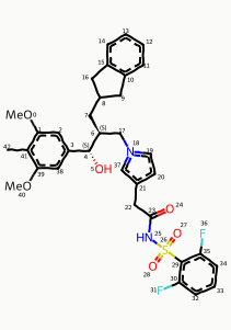 COc1cc([C@@H](O)[C@@H](CC2Cc3ccccc3C2)Cn2ccc(CC(=O)NS(=O)(=O)c3c(F)cccc3F)c2)cc(OC)c1C